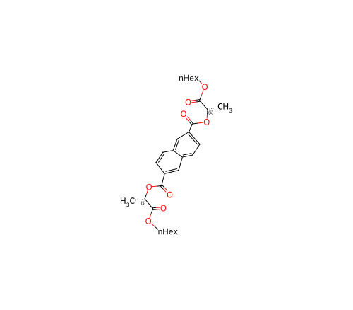 CCCCCCOC(=O)[C@H](C)OC(=O)c1ccc2cc(C(=O)O[C@@H](C)C(=O)OCCCCCC)ccc2c1